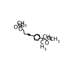 COC(=O)C(C)(C)c1ccc(C#CCCOS(C)(=O)=O)cc1